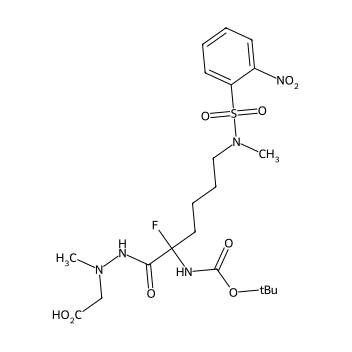 CN(CC(=O)O)NC(=O)C(F)(CCCCN(C)S(=O)(=O)c1ccccc1[N+](=O)[O-])NC(=O)OC(C)(C)C